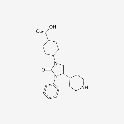 O=C(O)C1CCC(N2CC(C3CCNCC3)N(c3ccccc3)C2=O)CC1